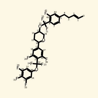 C/C=C/CCc1ccc(C(F)(F)OC2CCC(c3cc(F)c(C(F)(F)Oc4cc(F)c(F)c(F)c4)c(F)c3)OC2)c(F)c1